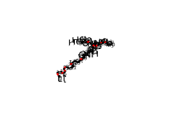 CC/C=C\C/C=C\C/C=C\C/C=C\C/C=C\C/C=C\CCC(=O)NCCSSC(C)(C)[C@@H](CNC(=O)OC(CO)CO)NC(=O)c1cc(-c2ccccc2)on1